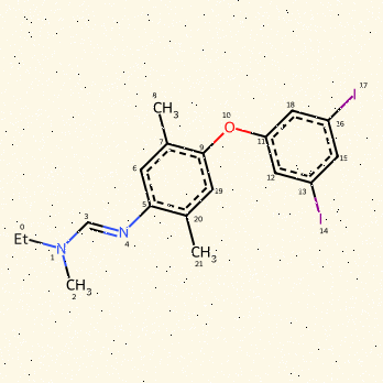 CCN(C)/C=N/c1cc(C)c(Oc2cc(I)cc(I)c2)cc1C